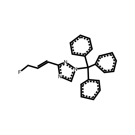 FC/C=C/c1ncn(C(c2ccccc2)(c2ccccc2)c2ccccc2)n1